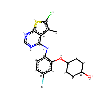 Cc1c(Cl)sc2ncnc(Nc3ccc(F)cc3OC3CCC(O)CC3)c12